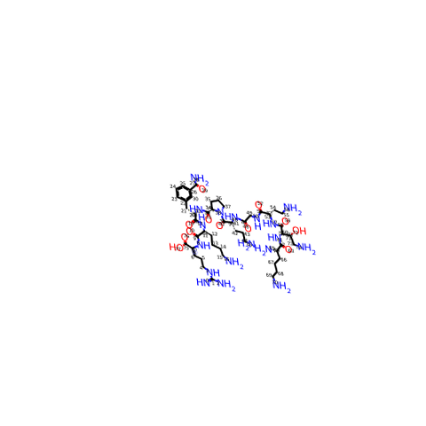 N=C(N)NCC/C=C(\NC(=O)[C@H](CCCCN)NC(=O)[C@H](Cc1cccc(C(N)=O)c1)NC(=O)[C@@H]1CCCN1C(=O)[C@@H](CCCN)NC(=O)CNC(=O)[C@H](CCN)NC(=O)[C@@H](NC(=O)[C@@H](N)CCCCN)[C@@H](O)CN)C(=O)O